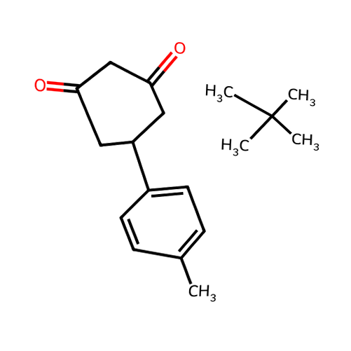 CC(C)(C)C.Cc1ccc(C2CC(=O)CC(=O)C2)cc1